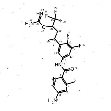 Cc1cc(N)cnc1C(=O)Nc1cc(F)c(F)c(C(C)CC(OC(=N)N)C(F)(F)F)c1